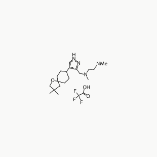 CNCCN(C)Cc1n[nH]cc1C1CCC2(CC1)CC(C)(C)CO2.O=C(O)C(F)(F)F